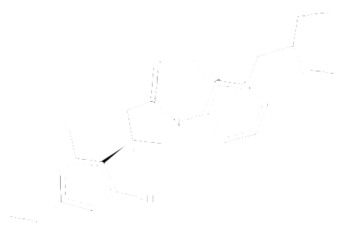 CCC(Cn1cccc(N2C[C@@H](c3c(F)cc(OC)cc3P)CC2=O)c1=O)OC